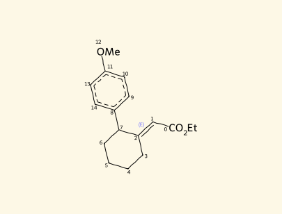 CCOC(=O)/C=C1\CCCCC1c1ccc(OC)cc1